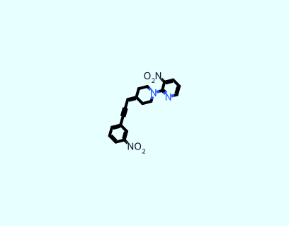 O=[N+]([O-])c1cccc(C#CC=C2CCN(c3ncccc3[N+](=O)[O-])CC2)c1